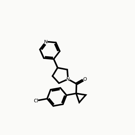 O=C(N1CCC(c2ccncc2)C1)C1(c2ccc(Cl)cc2)CC1